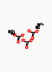 [Bi+3].[Bi+3].[O]=[Ti]([O-])[O-].[O]=[Ti]([O-])[O-].[O]=[Ti]([O-])[O-].[Ru].[Ru]